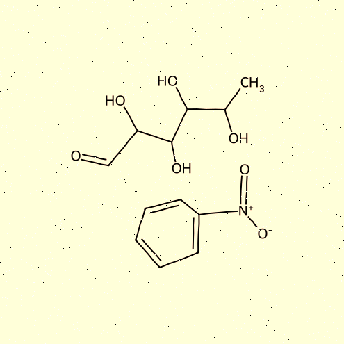 CC(O)C(O)C(O)C(O)C=O.O=[N+]([O-])c1ccccc1